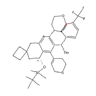 CC(C)(C)[Si](C)(C)O[C@@H]1CC2(CCC2)Cc2nc(C3CCOCC3)c(C(O)c3ccc(C(F)(F)F)cc3)c(C3=CCOCC3)c21